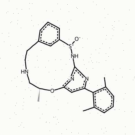 Cc1cccc(C)c1-c1cc2nc(n1)N[S+]([O-])c1cccc(c1)CCNC[C@@H](C)O2